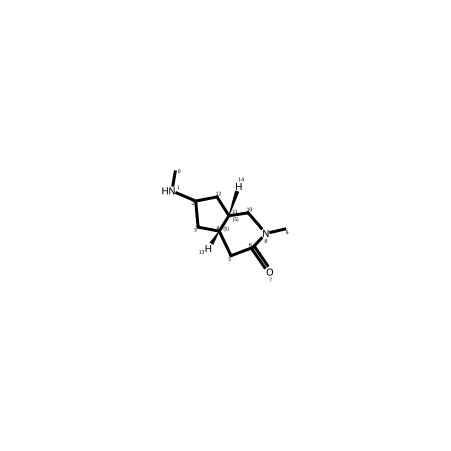 CNC1C[C@H]2CC(=O)N(C)C[C@H]2C1